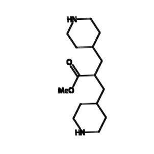 COC(=O)C(CC1CCNCC1)CC1CCNCC1